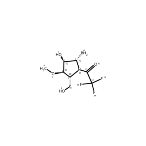 B[C@H]1[C@H](O)[C@H](OC)[C@@H](CO)N1C(=O)C(F)(F)F